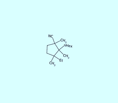 CCCCCCC1(C)C(C)(C#N)CCC1(C)CC